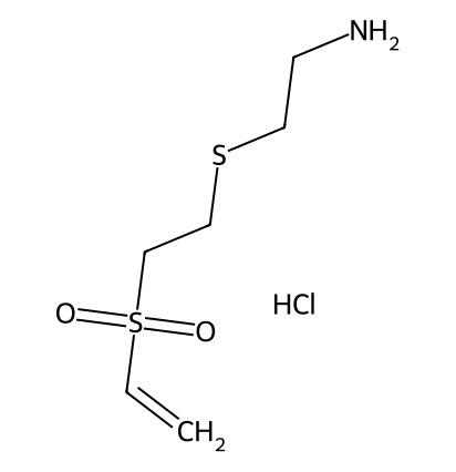 C=CS(=O)(=O)CCSCCN.Cl